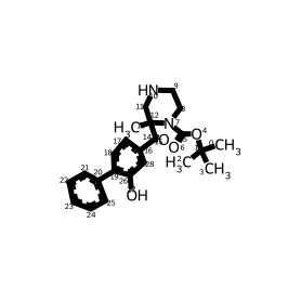 CC(C)(C)OC(=O)N1CCNCC1(C)C(=O)c1ccc(-c2ccccc2)c(O)c1